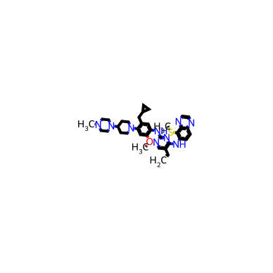 C=Cc1cnc(Nc2cc(CC3CC3)c(N3CCC(N4CCN(C)CC4)CC3)cc2OC)nc1Nc1ccc2nccnc2c1SC